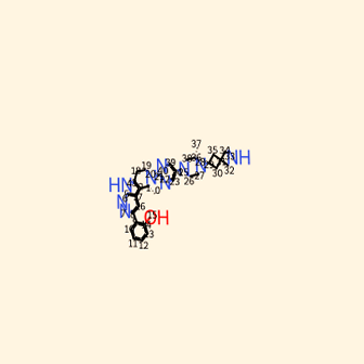 C[C@@H]1c2c([nH]c3nnc(-c4ccccc4O)cc23)CCN1c1ncc(N2CCN(C3CC4(CNC4)C3)[C@@H](C)C2)cn1